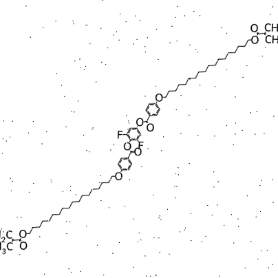 C=C(C)C(=O)OCCCCCCCCCCCCCCCCCCOc1ccc(C(=O)Oc2cc(F)c(OC(=O)c3ccc(OCCCCCCCCCCCCCCCCCCOC(=O)C(=C)C)cc3)c(F)c2)cc1